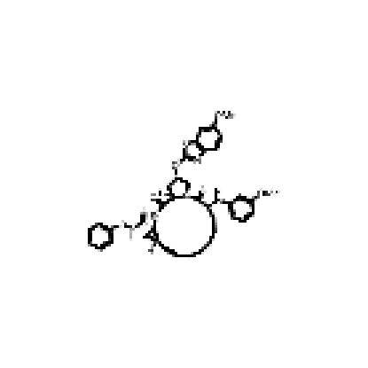 COc1cccc(N[C@H]2CCCCC/C=C\[C@@H]3C[C@@]3(C(=O)NOc3ccccc3)NC(=O)[C@@H]3C[C@@H](Oc4nc5ccc(OC)cc5s4)CN3C2=O)c1